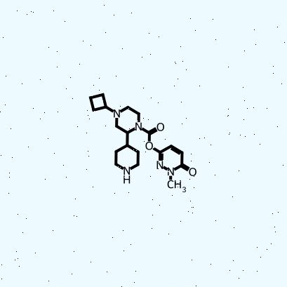 Cn1nc(OC(=O)N2CCN(C3CCC3)CC2C2CCNCC2)ccc1=O